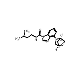 CC(C)CCNC(=O)n1cnc2c(N3C[C@H]4C[C@@H]3CO4)cccc21